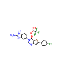 Nc1nc2cc(-n3cnc4cc(-c5ccc(Cl)cc5)sc4c3=O)ccc2[nH]1.O=C(O)C(F)(F)F